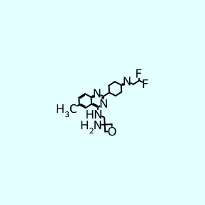 Cc1ccc2nc(C3CCC(=NCC(F)F)CC3)nc(NCC3(N)COC3)c2c1